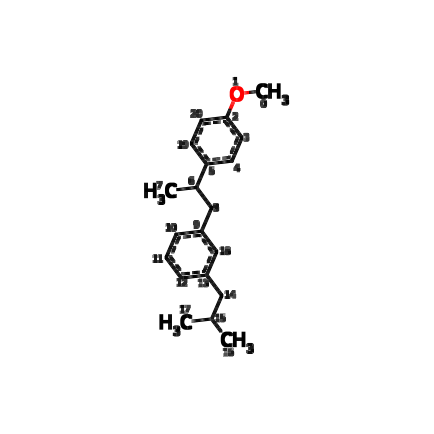 COc1ccc(C(C)Cc2cccc(CC(C)C)c2)cc1